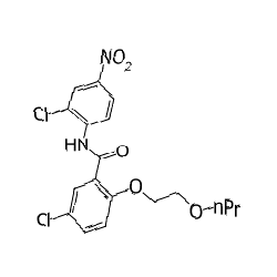 CCCOCCOc1ccc(Cl)cc1C(=O)Nc1ccc([N+](=O)[O-])cc1Cl